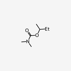 [CH2]CC(C)OC(=O)N(C)C